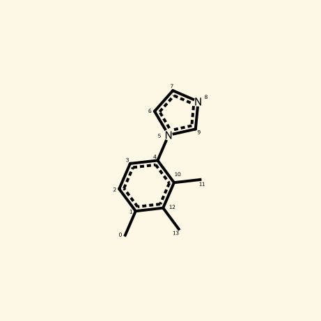 Cc1ccc(-n2ccnc2)c(C)c1C